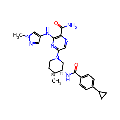 C[C@@H]1CCN(c2cnc(C(N)=O)c(Nc3cnn(C)c3)n2)C[C@@H]1NC(=O)c1ccc(C2CC2)cc1